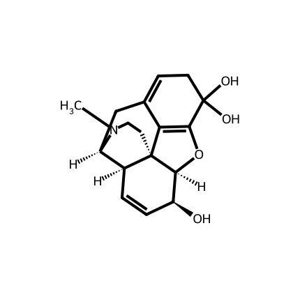 CN1CC[C@]23C4=C5O[C@H]2[C@@H](O)C=C[C@H]3[C@H]1CC4=CCC5(O)O